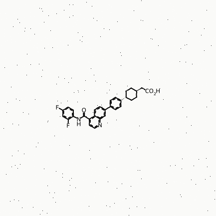 O=C(O)C[C@H]1CC[C@H](c2ccc(-c3ccc4c(C(=O)Nc5ccc(F)cc5F)ccnc4c3)cc2)CC1